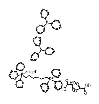 O=C(O)C(=O)O.O=C([O-])C(=O)O.[CH2]CCCCCCP(CCCCCC[P+](c1ccccc1)(c1ccccc1)c1ccccc1)(c1ccccc1)(c1ccccc1)c1ccccc1.c1ccc(P(c2ccccc2)c2ccccc2)cc1.c1ccc(P(c2ccccc2)c2ccccc2)cc1